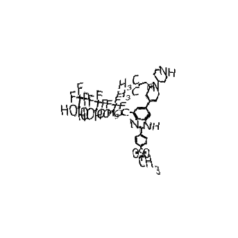 Cc1cc(C2CCN(C3CCNCC3)[C@H](CC(C)C)C2)cc2[nH]c(-c3ccc(S(C)(=O)=O)cc3)nc12.O=C(O)C(F)(F)F.O=C(O)C(F)(F)F.O=C(O)C(F)(F)F